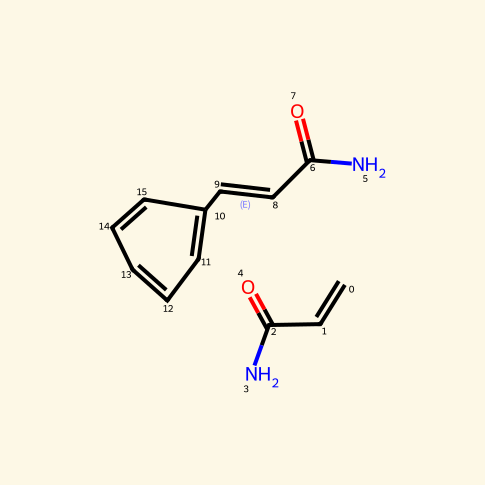 C=CC(N)=O.NC(=O)/C=C/c1ccccc1